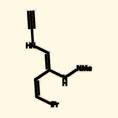 C#CN/C=C(\C=C/C(C)C)NNC